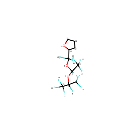 FC(F)C(F)(OC(F)(OC(F)(F)C1CCCO1)C(F)(F)F)C(F)(F)F